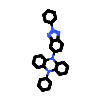 c1ccc(N2c3ccccc3N(c3ccc4nn(-c5ccccc5)nc4c3)c3ccccc32)cc1